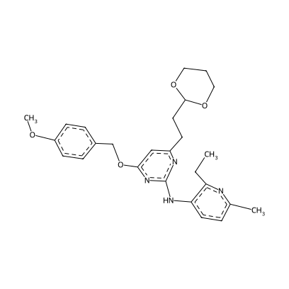 CCc1nc(C)ccc1Nc1nc(CCC2OCCCO2)cc(OCc2ccc(OC)cc2)n1